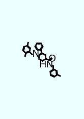 Cc1cccc(CNC(=O)C2CCc3c(c4ccccc4n3Cc3cc(C)ccc3C)C2)c1